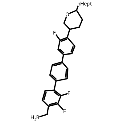 BCc1ccc(-c2ccc(-c3ccc(C4CCC(CCCCCCC)OC4)c(F)c3)cc2)c(F)c1F